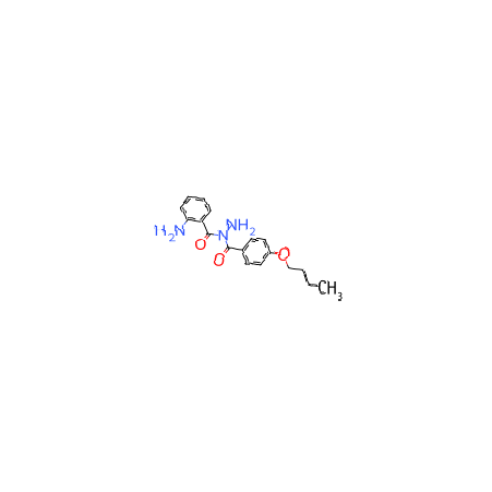 CCCCOc1ccc(C(=O)N(N)C(=O)c2ccccc2N)cc1